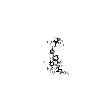 Cc1nn(C)cc1S(=O)(=O)NC(=O)c1ccc(-n2ccc(OCC3C(C)(C)C3(C)C)n2)nc1N1C[C@@H](C)CC1(C)C